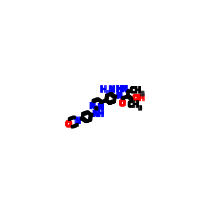 CC(=N)/C(C(=O)Nc1ccc(-c2ccnc(Nc3ccc(N4CCOCC4)cc3)n2)cc1N)=C(/C)O